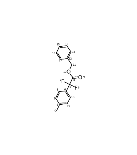 Cc1ccc(C(F)(F)C(=O)OCc2ccccc2)cc1